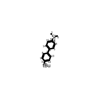 C[SiH](C)c1ccc(-c2ccc(C(C)(C)C)cc2)cc1